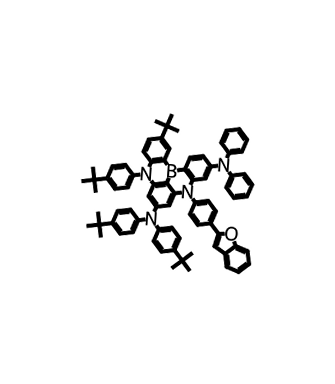 CC(C)(C)c1ccc(N(c2ccc(C(C)(C)C)cc2)c2cc3c4c(c2)N(c2ccc(-c5cc6ccccc6o5)cc2)c2cc(N(c5ccccc5)c5ccccc5)ccc2B4c2cc(C(C)(C)C)ccc2N3c2ccc(C(C)(C)C)cc2)cc1